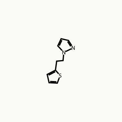 c1csc(CCn2cccn2)c1